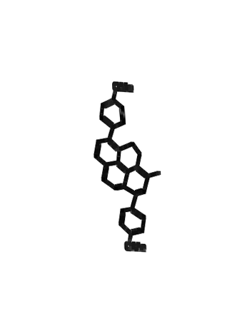 COc1ccc(-c2ccc3ccc4c(-c5ccc(OC)cc5)cc(C)c5c4c3c2CC5)cc1